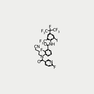 N#CCCCN(C(=O)c1ccc(F)nc1)c1cccc(C(=O)Nc2c(I)cc(C(F)(C(F)(F)F)C(F)(F)F)cc2C(F)(F)F)c1F